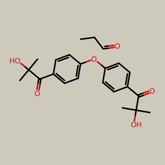 CC(C)(O)C(=O)c1ccc(Oc2ccc(C(=O)C(C)(C)O)cc2)cc1.CCC=O